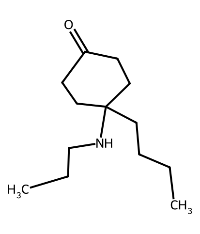 CCCCC1(NCCC)CCC(=O)CC1